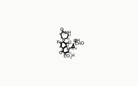 O=C1CCN(c2c(F)cc3c(=O)c(C(=O)O)cn(C4CC4)c3c2Cl)CCN1.O=CO